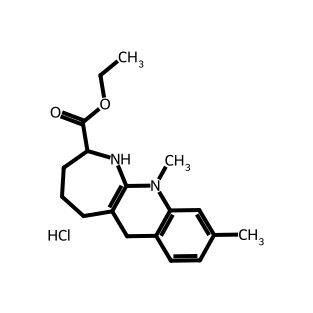 CCOC(=O)C1CCCC2=C(N1)N(C)c1cc(C)ccc1C2.Cl